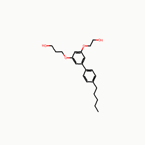 CCCCCc1ccc(-c2cc(OCCO)cc(OCCCO)c2)cc1